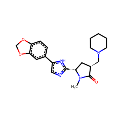 CN1C(=O)[C@@H](CN2CCCCC2)C[C@H]1c1ncc(-c2ccc3c(c2)OCO3)[nH]1